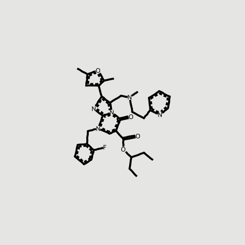 CCC(CC)OC(=O)c1cn(Cc2ccccc2F)c2nc(-c3cc(C)oc3C)c(CN(C)CCc3ccccn3)n2c1=O